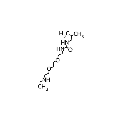 CCNCCOCCOCCNC(=O)NCC(C)C